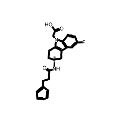 O=C(O)Cn1c2c(c3cc(F)ccc31)C[C@@H](NC(=O)CCc1ccccc1)CC2